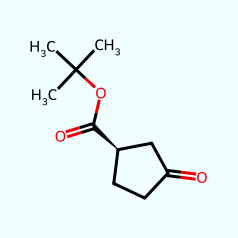 CC(C)(C)OC(=O)[C@@H]1CCC(=O)C1